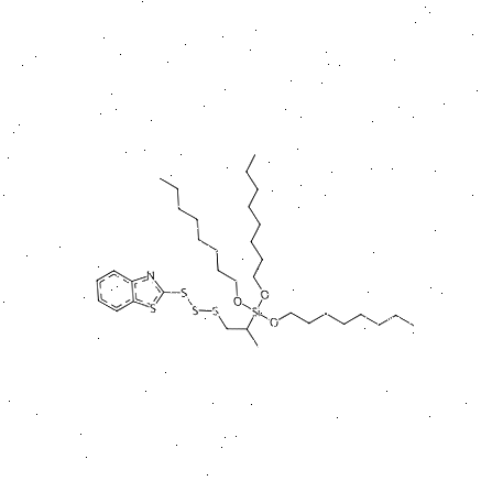 CCCCCCCCO[Si](OCCCCCCCC)(OCCCCCCCC)C(C)CSSSc1nc2ccccc2s1